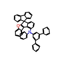 c1ccc(-c2cc(-c3ccccc3)cc(N(c3ccccc3)c3cccc4c3-c3c(oc5ccccc35)C43c4ccccc4-c4ccccc43)c2)cc1